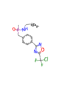 CC(C)CNP(C)(=O)Cc1ccc(-c2noc(C(F)(F)Cl)n2)cc1